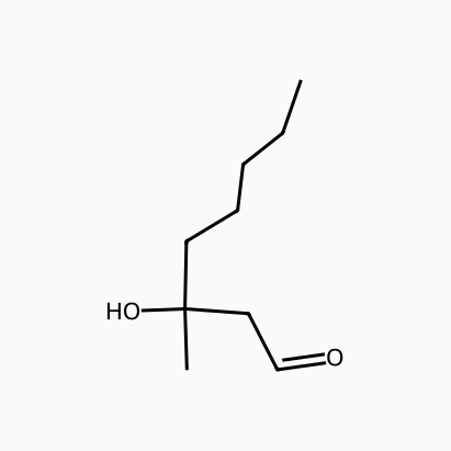 CCCCCC(C)(O)CC=O